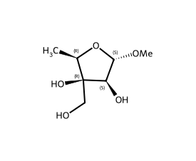 CO[C@H]1O[C@H](C)[C@@](O)(CO)[C@@H]1O